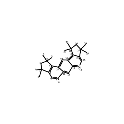 CC1(C)CC(C)(C)c2c1cnc1cc3ncc4c(c3cc21)C(C)(C)CC4(C)C